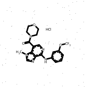 Cl.Cn1cnc2c(Nc3cccc(OC(F)(F)F)c3)ncc(C(=O)N3CCOCC3)c21